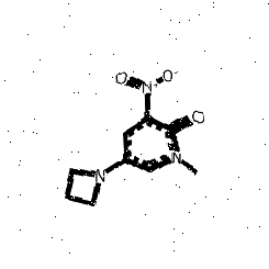 Cn1cc(N2CCC2)cc([N+](=O)[O-])c1=O